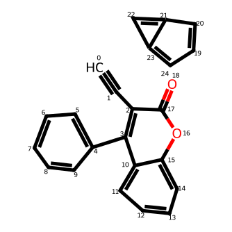 C#Cc1c(-c2ccccc2)c2ccccc2oc1=O.c1cc2cc-2c1